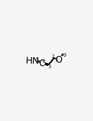 COCC=C=N